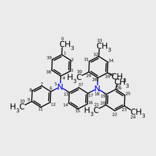 Cc1ccc(N(c2ccc(C)cc2)c2cccc(N(c3c(C)cc(C)cc3C)c3c(C)cc(C)cc3C)c2)cc1